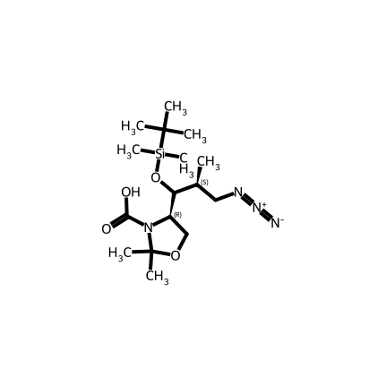 C[C@@H](CN=[N+]=[N-])C(O[Si](C)(C)C(C)(C)C)[C@H]1COC(C)(C)N1C(=O)O